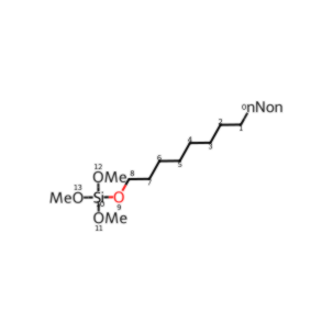 CCCCCCCCCCCCCCCCCO[Si](OC)(OC)OC